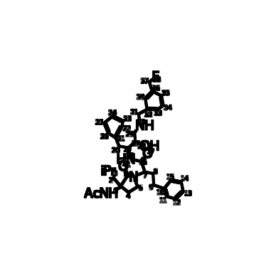 CC(=O)N[C@]1(CC(C)C)CCN(C(CCc2ccccc2)C(=O)NC(Cc2ccccc2)[C@H](O)CNCc2cccc(CF)c2)C1=O